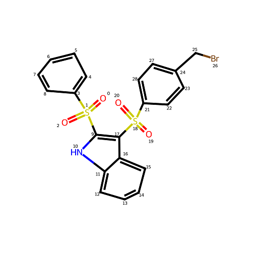 O=S(=O)(c1ccccc1)c1[nH]c2ccccc2c1S(=O)(=O)c1ccc(CBr)cc1